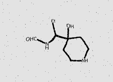 CCC(NC=O)C1(O)CCNCC1